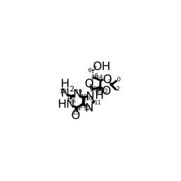 CC1(C)OC2[C@@H](CO)O[C@@H](n3cnc4c(=O)[nH]c(N)nc43)[C@H]2O1